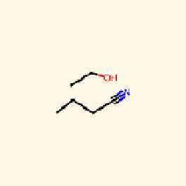 CCCC#N.CCO